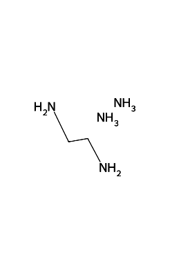 N.N.NCCN